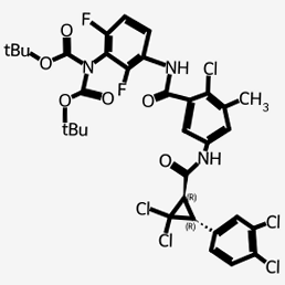 Cc1cc(NC(=O)[C@H]2[C@H](c3ccc(Cl)c(Cl)c3)C2(Cl)Cl)cc(C(=O)Nc2ccc(F)c(N(C(=O)OC(C)(C)C)C(=O)OC(C)(C)C)c2F)c1Cl